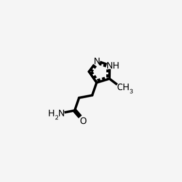 Cc1[nH]ncc1CCC(N)=O